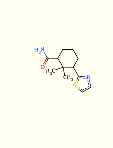 CC1(C)C(C(N)=O)CCCC1c1nccs1